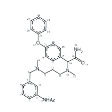 CC(=O)Nc1cccc(CN(C)CCCN(C)C(C(N)=O)c2ccc(Oc3ccccc3)cc2)c1